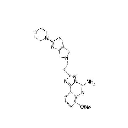 COc1cccc2c1nc(N)n1nc(CCN3Cc4ccc(N5CCOCC5)nc4C3)nc21